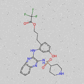 O=C(OCCCc1ccc(O)cc1Nc1nc2ccccc2nc1NS(=O)(=O)C1CCNCC1)C(F)(F)F